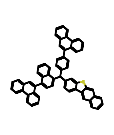 c1ccc2cc3c(cc2c1)sc1cc(C(c2ccc(-c4cc5ccccc5c5ccccc45)cc2)c2ccc(-c4cc5ccccc5c5ccccc45)c4ccccc24)ccc13